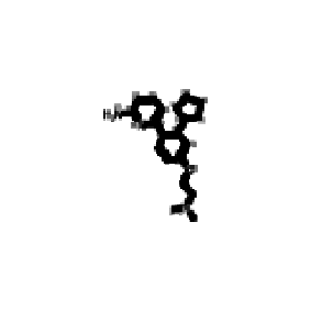 CN(C)CCOc1ccc(-c2cccc(N)n2)c(C2CCCC2)c1